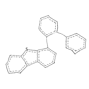 c1ccc(-c2ccccc2-c2cccc3c2sc2ccccc23)cc1